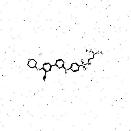 CN(C)CCNS(=O)(=O)c1ccc(Nc2nccc(-c3ccc(OC4CCOCC4)c(C#N)c3)n2)cc1